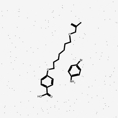 C=C(C)COCCCCCCCOc1ccc(C(=O)O)cc1.Nc1ccc(Br)cc1